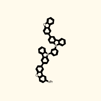 CCCc1ccc2oc3ccc(-c4ccc5c(c4)c4ccccc4n5-c4cccc(-n5c6ccccc6c6cc(-c7ccc8oc9ccccc9c8c7)ccc65)c4)cc3c2c1